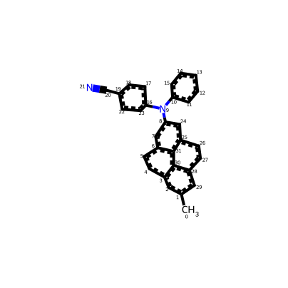 Cc1cc2ccc3cc(N(c4ccccc4)c4ccc(C#N)cc4)cc4ccc(c1)c2c34